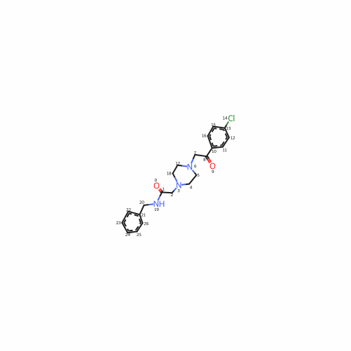 O=C(CN1CCN(CC(=O)c2ccc(Cl)cc2)CC1)NCc1ccccc1